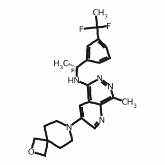 Cc1nnc(N[C@H](C)c2cccc(C(C)(F)F)c2)c2cc(N3CCC4(CC3)COC4)cnc12